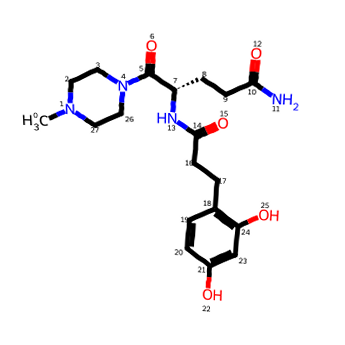 CN1CCN(C(=O)[C@H](CCC(N)=O)NC(=O)CCc2ccc(O)cc2O)CC1